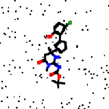 CN1C(=O)CC(C)(c2cccc(-c3cc(Cl)ccc3O)c2)N/C1=N/C(=O)OC(C)(C)C